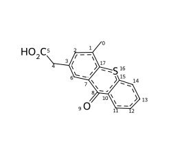 Cc1cc(CC(=O)O)cc2c(=O)c3ccccc3sc12